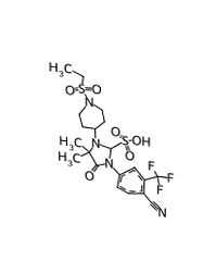 CCS(=O)(=O)N1CCC(N2C(S(=O)(=O)O)N(c3ccc(C#N)c(C(F)(F)F)c3)C(=O)C2(C)C)CC1